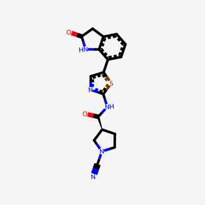 N#CN1CC[C@H](C(=O)Nc2ncc(-c3cccc4c3NC(=O)C4)s2)C1